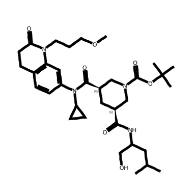 COCCCN1C(=O)CCc2ccc(N(C(=O)[C@@H]3C[C@H](C(=O)NC(CO)CC(C)C)CN(C(=O)OC(C)(C)C)C3)C3CC3)cc21